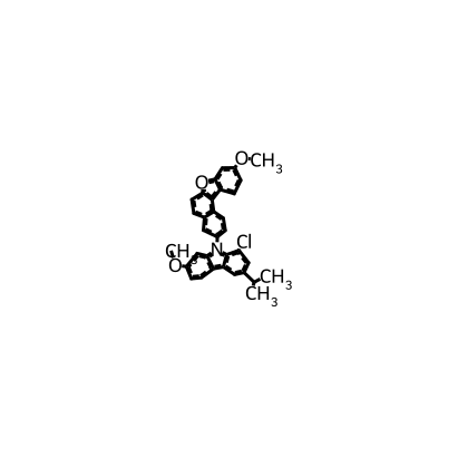 COc1ccc2c(c1)oc1ccc3cc(-n4c5cc(OC)ccc5c5cc(C(C)C)cc(Cl)c54)ccc3c12